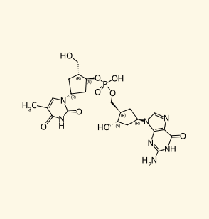 Cc1cn([C@@H]2C[C@H](CO)[C@@H](OP(=O)(O)OC[C@H]3C[C@@H](n4cnc5c(=O)[nH]c(N)nc54)C[C@@H]3O)C2)c(=O)[nH]c1=O